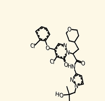 CC(C)(O)Cn1ccc(NC(=O)C(CC2CCOCC2)n2ncc(Oc3ccccc3Cl)c(Cl)c2=O)n1